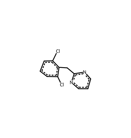 Clc1cccc(Cl)c1Cc1ncccn1